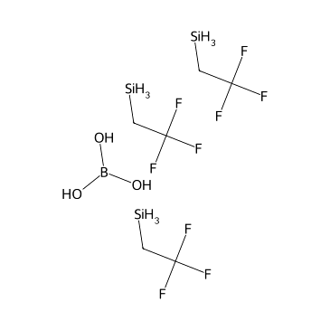 FC(F)(F)C[SiH3].FC(F)(F)C[SiH3].FC(F)(F)C[SiH3].OB(O)O